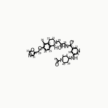 CC(=O)N1CCC(Nc2cncc(C(=O)NC[C@H](O)CN3CCc4c(ccc(OCc5cnco5)c4C)C3)c2)CC1